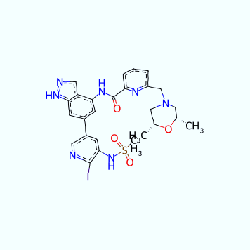 C[C@@H]1CN(Cc2cccc(C(=O)Nc3cc(-c4cnc(I)c(NS(C)(=O)=O)c4)cc4[nH]ncc34)n2)C[C@H](C)O1